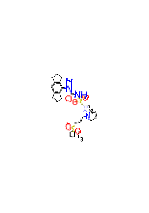 CS(=O)(=O)CCCN1CCC[C@@H]1/C=C/S(=O)(=O)NC(=O)Nc1c2c(cc3c1CCC3)CCC2